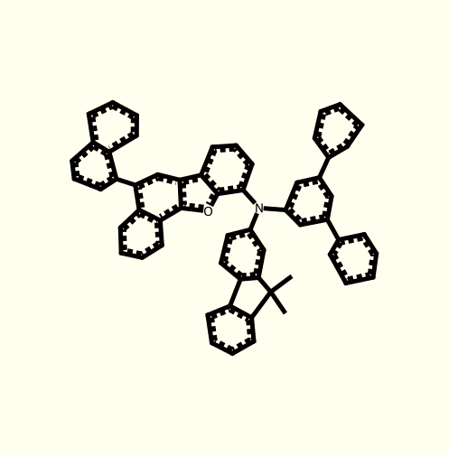 CC1(C)c2ccccc2-c2ccc(N(c3cc(-c4ccccc4)cc(-c4ccccc4)c3)c3cccc4c3oc3c5ccccc5c(-c5cccc6ccccc56)cc43)cc21